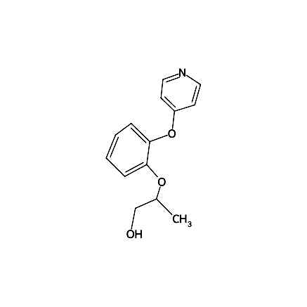 CC(CO)Oc1ccccc1Oc1ccncc1